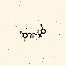 C#Cc1cccc(C2(NCC[C@@H](N)[CH]c3cc(F)cc(F)c3)CC2)c1